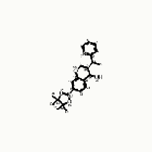 CC(c1ccccn1)[C@@H]1COc2cc(B3OC(C)(C)C(C)(C)O3)ccc2C1O